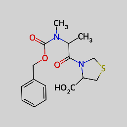 CC(C(=O)N1CSCC1C(=O)O)N(C)C(=O)OCc1ccccc1